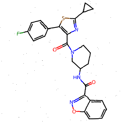 O=C(NC1CCCN(C(=O)c2nc(C3CC3)sc2-c2ccc(F)cc2)C1)c1noc2ccccc12